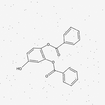 O=C(Oc1ccc(O)cc1OC(=O)c1ccccc1)c1ccccc1